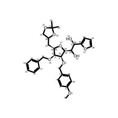 COc1ccc(CO[C@H]2[C@@H](OCc3ccccc3)[C@@H](CC3COC(C)(C)O3)O[C@H]2C(O)[C@@H](O)c2ccco2)cc1